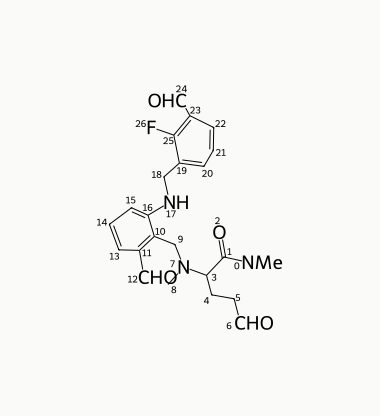 CNC(=O)C(CCC=O)N(C)Cc1c(C=O)cccc1NCc1cccc(C=O)c1F